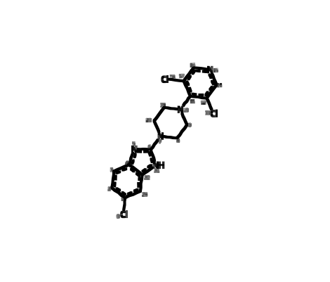 Clc1ccc2nc(N3CCN(c4c(Cl)cncc4Cl)CC3)[nH]c2c1